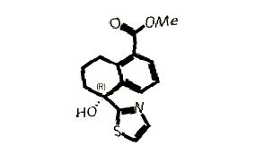 COC(=O)c1cccc2c1CCC[C@]2(O)c1nccs1